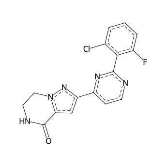 O=C1NCCn2nc(-c3ccnc(-c4c(F)cccc4Cl)n3)cc21